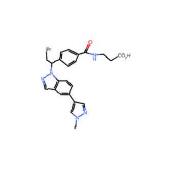 CC(C)CC(c1ccc(C(=O)NCCC(=O)O)cc1)n1ncc2cc(-c3cnn(C)c3)ccc21